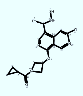 CCC(NS)c1cnc(OC2CN(C(=O)C3CC3)C2)c2cnc(Cl)cc12